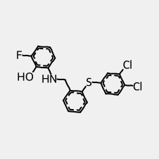 Oc1c(F)cccc1NCc1ccccc1Sc1ccc(Cl)c(Cl)c1